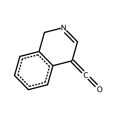 O=C=C1C=NCc2ccccc21